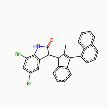 CC1=C(c2cccc3ccccc23)c2ccccc2C1C1C(=O)Nc2c(Br)cc(Br)cc21